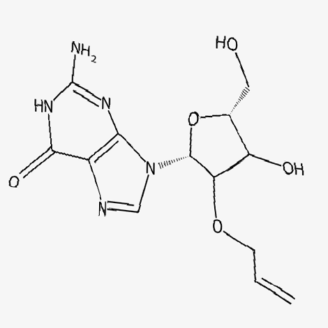 C=CCOC1C(O)[C@@H](CO)O[C@H]1n1cnc2c(=O)[nH]c(N)nc21